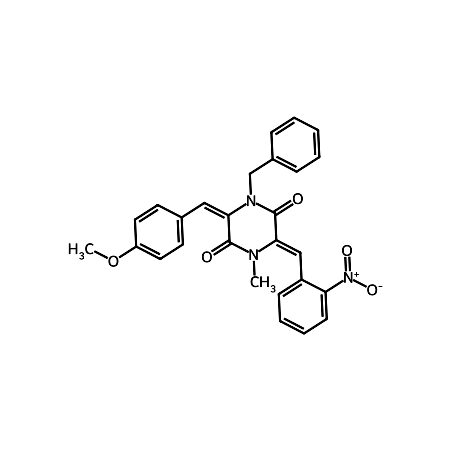 COc1ccc(C=c2c(=O)n(C)c(=Cc3ccccc3[N+](=O)[O-])c(=O)n2Cc2ccccc2)cc1